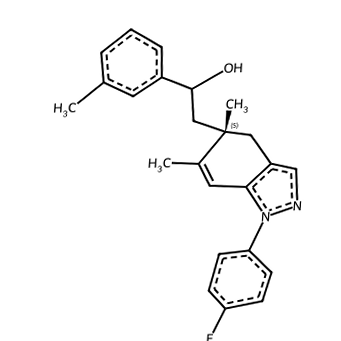 CC1=Cc2c(cnn2-c2ccc(F)cc2)C[C@@]1(C)CC(O)c1cccc(C)c1